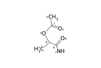 CC(=O)OC(C)C([NH])=O